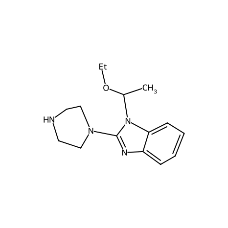 CCOC(C)n1c(N2CCNCC2)nc2ccccc21